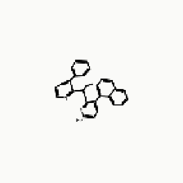 CCC(c1ncccc1-c1ccccc1)c1ncccc1-c1cccc2ccccc12.[Pt+2]